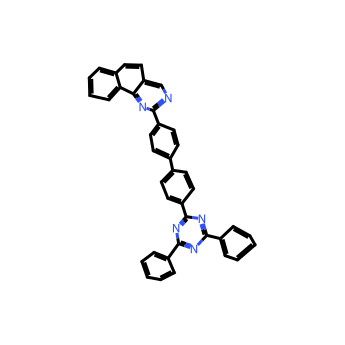 c1ccc(-c2nc(-c3ccccc3)nc(-c3ccc(-c4ccc(-c5ncc6ccc7ccccc7c6n5)cc4)cc3)n2)cc1